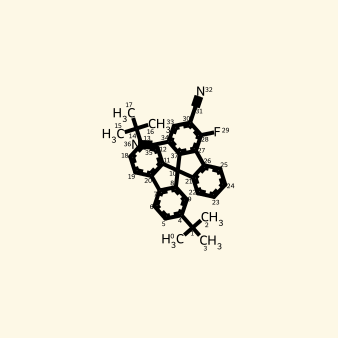 CC(C)(C)c1ccc2c(c1)C1(c3cc(C(C)(C)C)ccc3-2)c2ccccc2-c2c(F)c(C#N)cc(C#N)c21